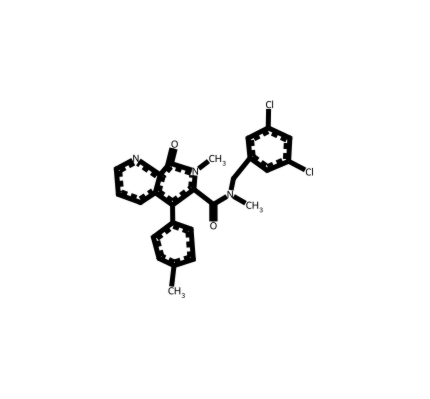 Cc1ccc(-c2c(C(=O)N(C)Cc3cc(Cl)cc(Cl)c3)n(C)c(=O)c3ncccc23)cc1